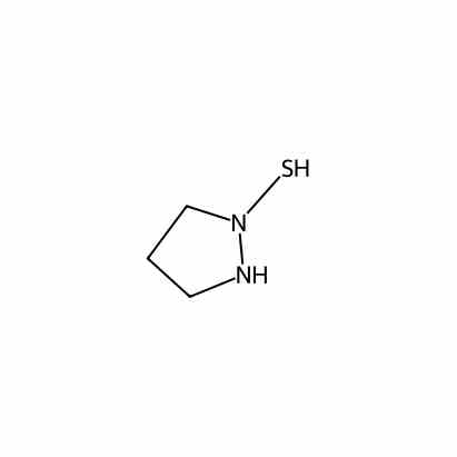 SN1CCCN1